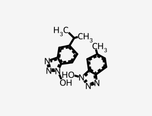 CC(C)c1ccc2c(c1)nnn2O.Cc1ccc2nnn(O)c2c1